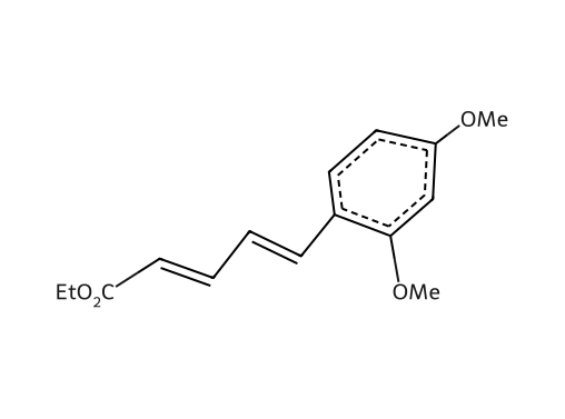 CCOC(=O)/C=C/C=C/c1ccc(OC)cc1OC